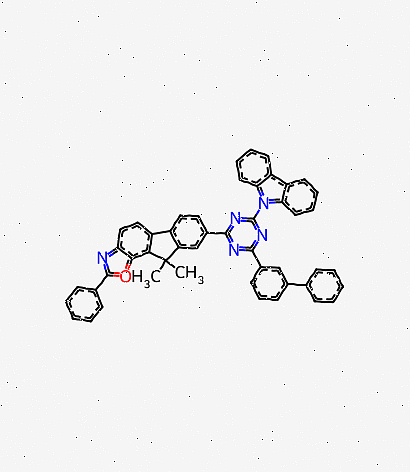 CC1(C)c2cc(-c3nc(-c4cccc(-c5ccccc5)c4)nc(-n4c5ccccc5c5ccccc54)n3)ccc2-c2ccc3nc(-c4ccccc4)oc3c21